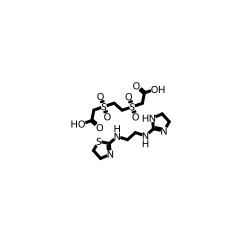 C1CNC(NCCNC2=NCCS2)=N1.O=C(O)CS(=O)(=O)CCS(=O)(=O)CC(=O)O